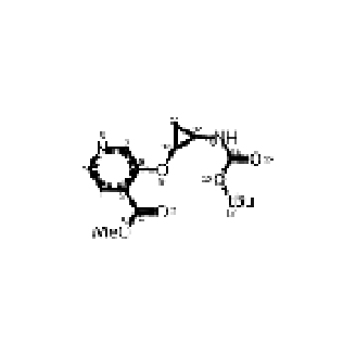 COC(=O)c1ccncc1OC1CC1NC(=O)OC(C)(C)C